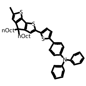 CCCCCCCCC1(CCCCCCCC)c2cc(C)sc2-c2sc(-c3ccc(-c4ccc(N(c5ccccc5)c5ccccc5)cc4)s3)cc21